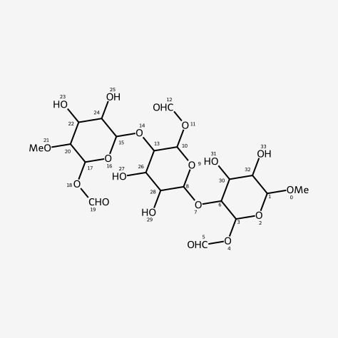 COC1OC(OC=O)C(OC2OC(OC=O)C(OC3OC(OC=O)C(OC)C(O)C3O)C(O)C2O)C(O)C1O